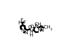 Cc1cc2n(n1)CCC(NC(=O)c1ncn3ccc(C(F)(F)F)cc13)C(=O)N2C